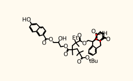 CCC(C)(CC(C)(CC(C)(C)C(=O)OC(C)(C)C)C(=O)OCC(O)COC(=O)c1ccc2cc(O)ccc2c1)C(=O)OCC12c3ccccc3C(c3ccccc31)C1C(=O)NC(=O)C12